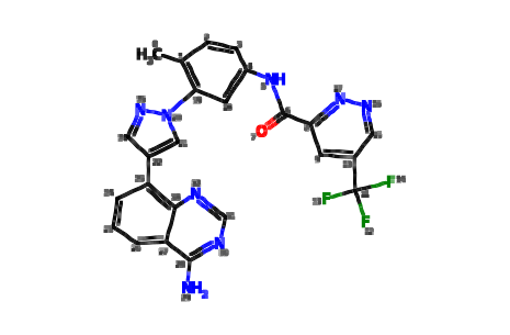 Cc1ccc(NC(=O)c2cc(C(F)(F)F)cnn2)cc1-n1cc(-c2cccc3c(N)ncnc23)cn1